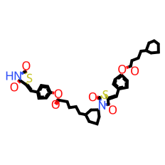 O=C(CCCCC1CCCC(N2C(=O)S/C(=C\c3ccc(OC(=O)CCCC4CCCCC4)cc3)C2=O)C1)Oc1ccc(/C=C2\SC(=O)NC2=O)cc1